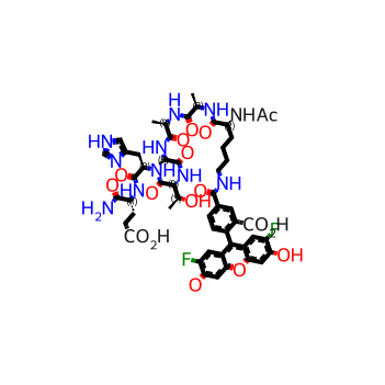 CC(=O)N[C@H](CCCCNC(=O)c1ccc(-c2c3cc(F)c(=O)cc-3oc3cc(O)c(F)cc23)c(C(=O)O)c1)C(=O)N[C@H](C)C(=O)N[C@H](C)C(=O)N[C@H](C)C(=O)N[C@@H](C(=O)N[C@H](Cc1c[nH]cn1)C(=O)N[C@H](CCC(=O)O)C(N)=O)[C@H](C)O